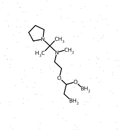 BCC(OB)OCCN(C)C(C)(C)N1CCCC1